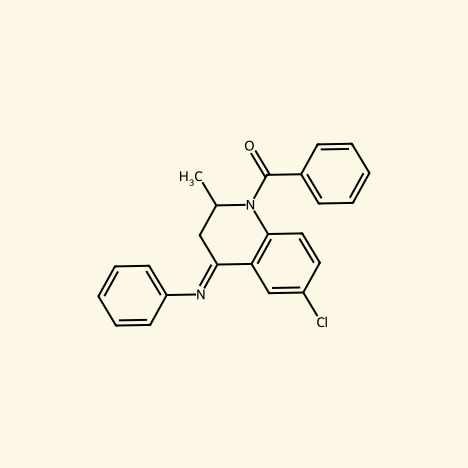 CC1CC(=Nc2ccccc2)c2cc(Cl)ccc2N1C(=O)c1ccccc1